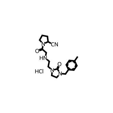 Cc1ccc(CN2CCN(CCNCC(=O)N3CCCC3C#N)C2=O)cc1.Cl